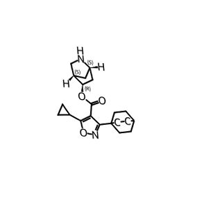 O=C(O[C@@H]1C[C@@H]2C[C@H]1CN2)c1c(C23CCC(CC2)CC3)noc1C1CC1